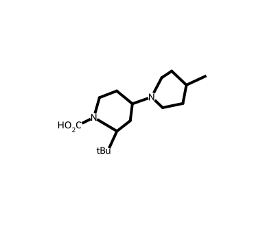 CC1CCN(C2CCN(C(=O)O)C(C(C)(C)C)C2)CC1